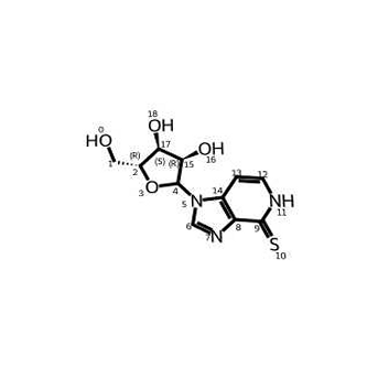 OC[C@H]1OC(n2cnc3c(=S)[nH]ccc32)[C@H](O)[C@@H]1O